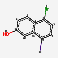 Oc1ccc2c(Br)ccc(I)c2c1